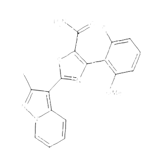 COc1cccc(F)c1-c1nc(-c2c(C)nn3ccccc23)sc1C(N)=O